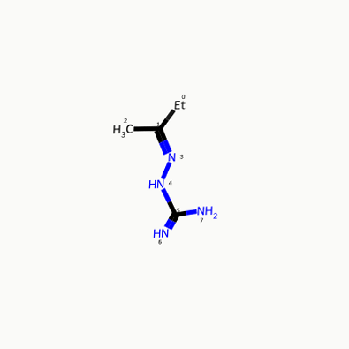 CCC(C)=NNC(=N)N